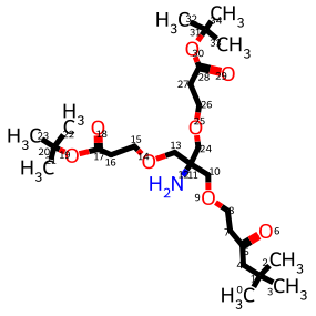 CC(C)(C)CC(=O)CCOCC(N)(COCCC(=O)OC(C)(C)C)COCCC(=O)OC(C)(C)C